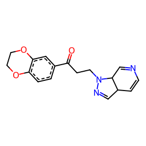 O=C(CCN1N=CC2C=CN=CC21)c1ccc2c(c1)OCCO2